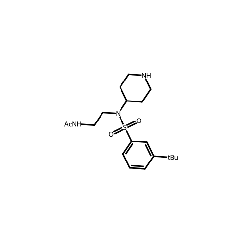 CC(=O)NCCN(C1CCNCC1)S(=O)(=O)c1cccc(C(C)(C)C)c1